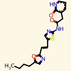 CCCCc1cnc(/C=C/c2cnc(NC(=O)Cc3ccc[nH]c3=O)s2)o1